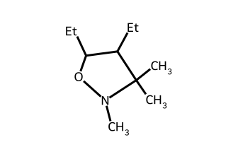 CCC1ON(C)C(C)(C)C1CC